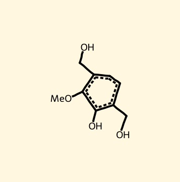 COc1c(CO)ccc(CO)c1O